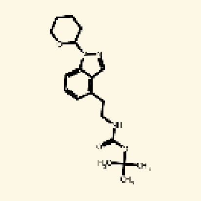 CC(C)(C)OC(=O)NCCc1cccc2c1cnn2C1CCCCO1